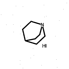 C1CN2CCC1CC2.I